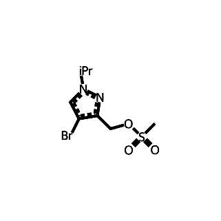 CC(C)n1cc(Br)c(COS(C)(=O)=O)n1